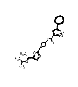 CC(C)O[C@H](C)c1nnc(C2CC(NC(=O)c3cc(-c4ccccc4)on3)C2)o1